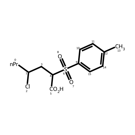 CCCC(Cl)CC(C(=O)O)S(=O)(=O)c1ccc(C)cc1